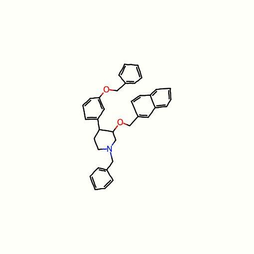 c1ccc(COc2cccc(C3CCN(Cc4ccccc4)CC3OCc3ccc4ccccc4c3)c2)cc1